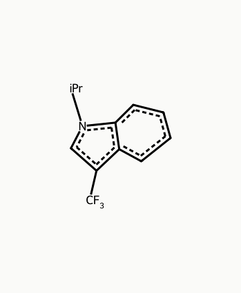 CC(C)n1cc(C(F)(F)F)c2ccccc21